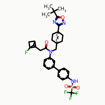 CC(C)(C)c1nc(C23CCC(CN(C(=O)CC4C5CC4(F)C5)c4cccc(-c5ccc(NS(=O)(=O)C(F)(F)F)cc5)c4)(CC2)CC3)no1